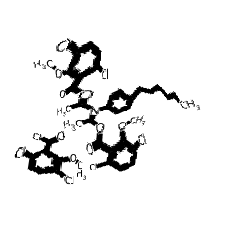 CCCCCCc1ccc(N(C(C)OC(=O)c2c(Cl)ccc(Cl)c2OC)C(C)OC(=O)c2c(Cl)ccc(Cl)c2OC)cc1.COc1c(Cl)ccc(Cl)c1C(=O)Cl